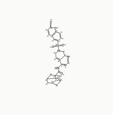 O=C(NC1=NC=NC2CN(S(=O)(=O)c3ccc4oc(=O)ccc4c3)CC=C12)C12CC3CC(CC(C3)C1)C2